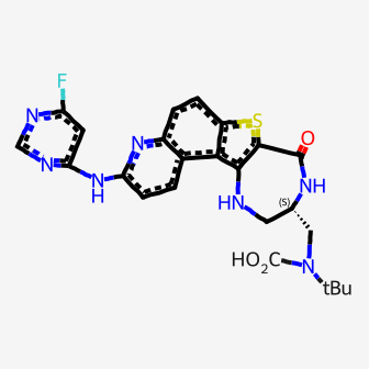 CC(C)(C)N(C[C@@H]1CNc2c(sc3ccc4nc(Nc5cc(F)ncn5)ccc4c23)C(=O)N1)C(=O)O